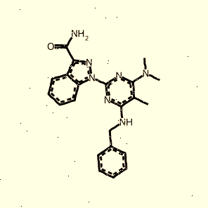 Cc1c(NCc2ccccc2)nc(-n2nc(C(N)=O)c3ccccc32)nc1N(C)C